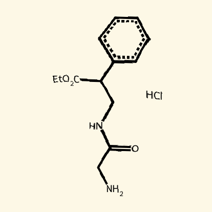 CCOC(=O)C(CNC(=O)CN)c1ccccc1.Cl